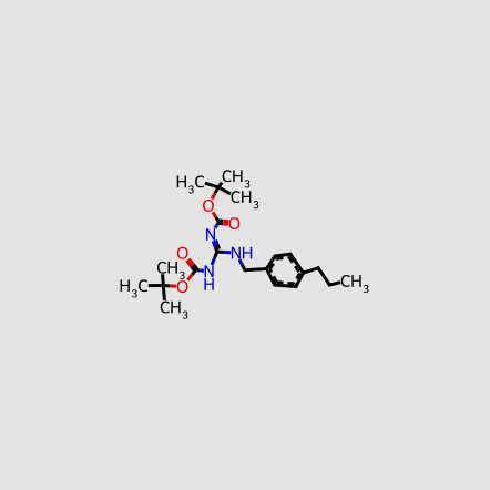 CCCc1ccc(CN/C(=N\C(=O)OC(C)(C)C)NC(=O)OC(C)(C)C)cc1